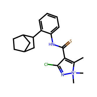 CC1=C(C(=S)Nc2ccccc2C2CC3CCC2C3)C(Cl)=N[N+]1(C)C